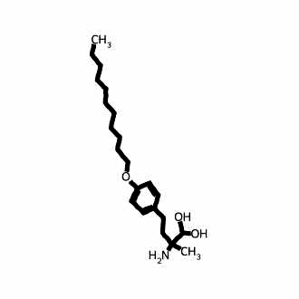 CCCCCCCCCCCOc1ccc(CCC(C)(N)C(O)O)cc1